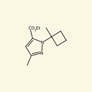 CCOC(=O)c1cc(C)nn1C1(C)CCC1